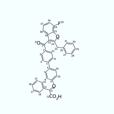 O=C(c1ccc(-c2ccc(OC(C(=O)O)c3ccccc3)cc2)cc1)c1c(Cc2ccccc2)oc2c(F)cccc12